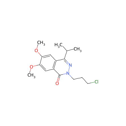 COc1cc2c(C(C)C)nn(CCCCl)c(=O)c2cc1OC